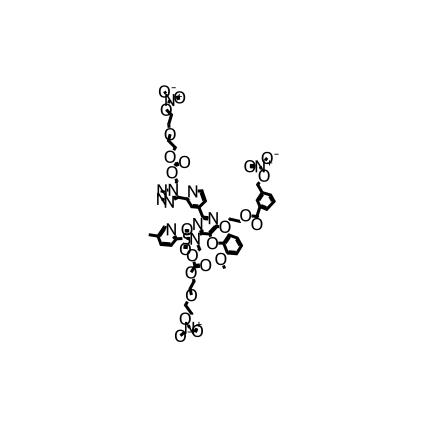 COc1ccccc1Oc1c(OCCOC(=O)c2cccc(CO[N+](=O)[O-])c2)nc(-c2ccnc(-c3nnnn3COC(=O)OCCOCCO[N+](=O)[O-])c2)nc1N(COC(=O)OCCOCCO[N+](=O)[O-])S(=O)(=O)c1ccc(C)cn1